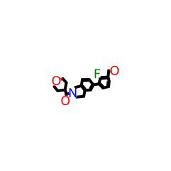 O=Cc1cccc(-c2ccc3c(c2)CCN(C(=O)C2CCOCC2)C3)c1F